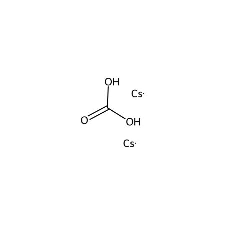 O=C(O)O.[Cs].[Cs]